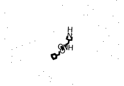 O=C(NCCC1CCNCC1)OCCc1ccccc1